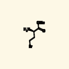 COC(=O)[C@H](N)CCBr